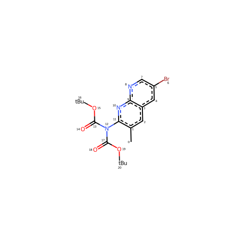 Cc1cc2cc(Br)cnc2nc1N(C(=O)OC(C)(C)C)C(=O)OC(C)(C)C